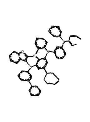 C/C=C\C(=C/C)N(c1ccccc1)c1cccc(N2c3ccccc3B3c4oc5ccccc5c4N(c4cccc(-c5ccccc5)c4)c4cc(C5CCCCC5)cc2c43)c1